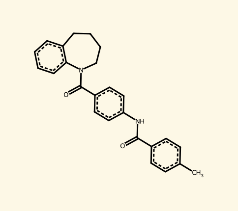 Cc1ccc(C(=O)Nc2ccc(C(=O)N3CCCCc4ccccc43)cc2)cc1